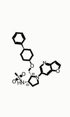 CS(=O)(=O)N[C@H]1CCN(c2cnc3ccoc3c2)[C@H]1CO[C@H]1CC[C@@H](c2ccccc2)CC1